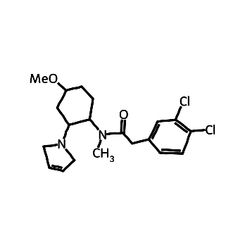 COC1CCC(N(C)C(=O)Cc2ccc(Cl)c(Cl)c2)C(N2CC=CC2)C1